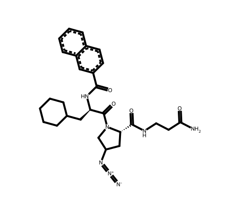 [N-]=[N+]=NC1C[C@@H](C(=O)NCCC(N)=O)N(C(=O)[C@@H](CC2CCCCC2)NC(=O)c2ccc3ccccc3c2)C1